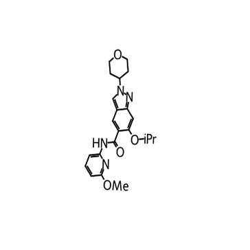 COc1cccc(NC(=O)c2cc3cn(C4CCOCC4)nc3cc2OC(C)C)n1